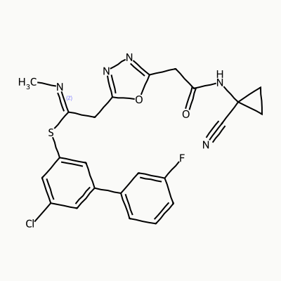 C/N=C(/Cc1nnc(CC(=O)NC2(C#N)CC2)o1)Sc1cc(Cl)cc(-c2cccc(F)c2)c1